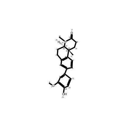 COc1cc(-c2ccc3c(c2)CC[C@H]2N(C)C(=O)CC[C@]32C)ccc1O